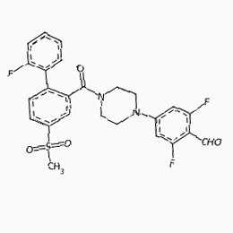 CS(=O)(=O)c1ccc(-c2ccccc2F)c(C(=O)N2CCN(c3cc(F)c(C=O)c(F)c3)CC2)c1